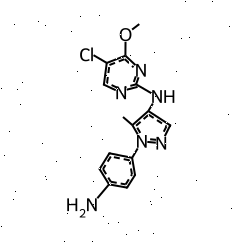 COc1nc(Nc2cnn(-c3ccc(N)cc3)c2C)ncc1Cl